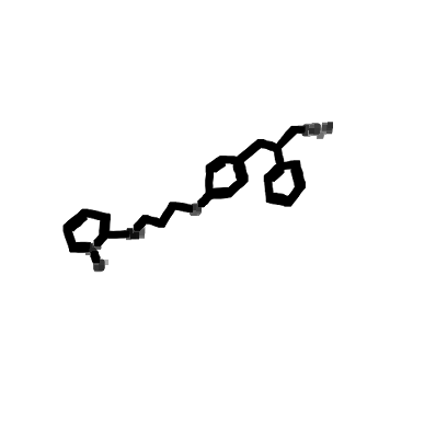 O=C(O)C[C@H](Cc1ccc(OCCCNc2cccc[n+]2[O-])cc1)c1ccccc1